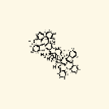 Cc1ccccc1N(c1ccccc1)c1cc2c(c3c1oc1ccccc13)-c1ccc3c(c1C2(C)C)C(C)(C)c1cc(N(c2ccccc2)c2ccccc2C)c2c(oc4ccccc42)c1-3